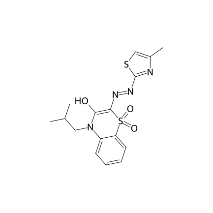 Cc1csc(N=NC2=C(O)N(CC(C)C)c3ccccc3S2(=O)=O)n1